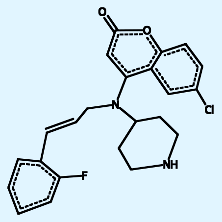 O=c1cc(N(C/C=C/c2ccccc2F)C2CCNCC2)c2cc(Cl)ccc2o1